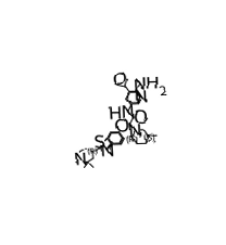 C[C@H]1CC[C@H](c2ccc3sc([C@@H]4CCN(C)C(C)(C)C4)nc3c2)N(C(=O)C(=O)Nc2cnc(N)c(C3COC3)c2)C1